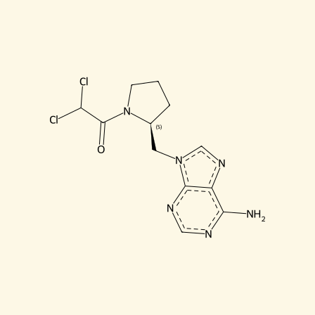 Nc1ncnc2c1ncn2C[C@@H]1CCCN1C(=O)C(Cl)Cl